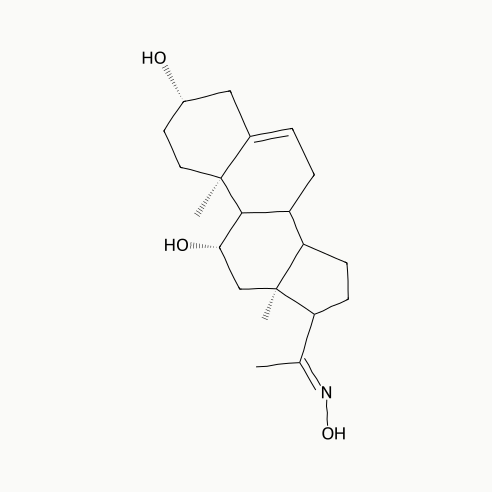 C/C(=N\O)C1CCC2C3CC=C4C[C@@H](O)CC[C@]4(C)C3[C@@H](O)C[C@]12C